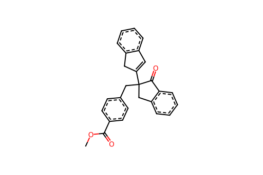 COC(=O)c1ccc(CC2(C3=Cc4ccccc4C3)Cc3ccccc3C2=O)cc1